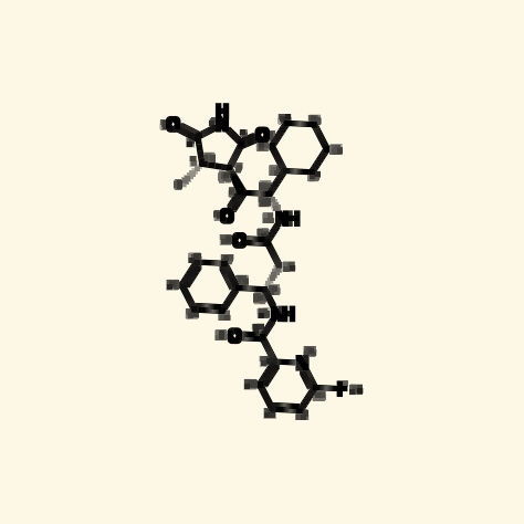 C[C@@H]1C(=O)NC(=O)[C@H]1C(=O)[C@@H](NC(=O)C[C@H](NC(=O)c1cccc(F)n1)c1ccccc1)C1CCCCC1